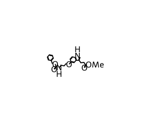 COC(=O)CCc1c[nH]c2ccc(OCCCNC(=O)OCc3ccccc3)cc12